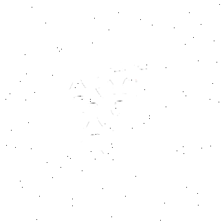 C=COc1c(C)cc(Cc2c(OC=C)c(OC=C)c(Cc3cc(C)c(OC=C)c(C)c3)c3ccccc23)cc1C